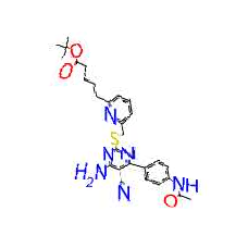 CC(=O)Nc1ccc(-c2nc(SCc3cccc(CCCCC(=O)OC(C)(C)C)n3)nc(N)c2C#N)cc1